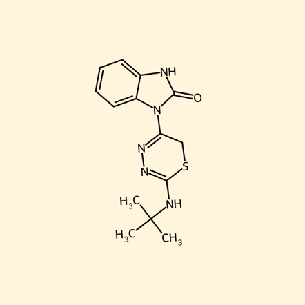 CC(C)(C)NC1=NN=C(n2c(=O)[nH]c3ccccc32)CS1